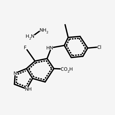 Cc1cc(Cl)ccc1Nc1c(C(=O)O)cc2[nH]cnc2c1F.NN